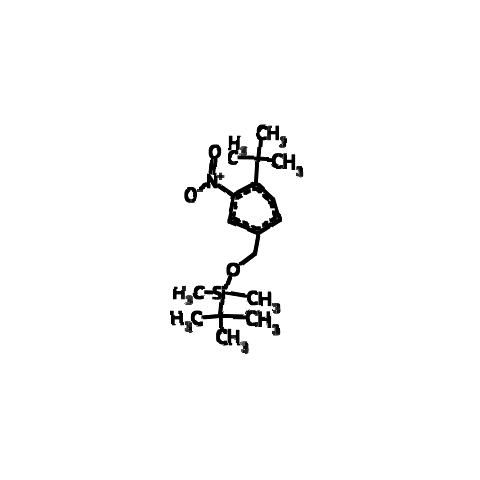 CC(C)(C)c1ccc(CO[Si](C)(C)C(C)(C)C)cc1[N+](=O)[O-]